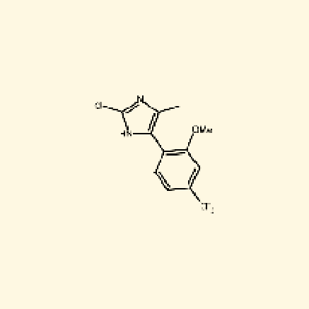 COc1cc(C(F)(F)F)ccc1-c1[nH]c(Cl)nc1C